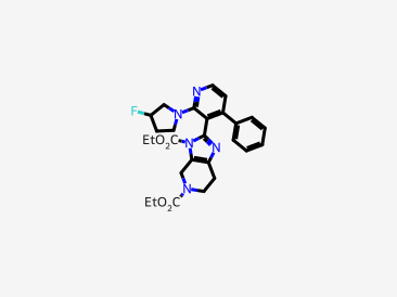 CCOC(=O)N1CCc2nc(-c3c(-c4ccccc4)ccnc3N3CCC(F)C3)n(C(=O)OCC)c2C1